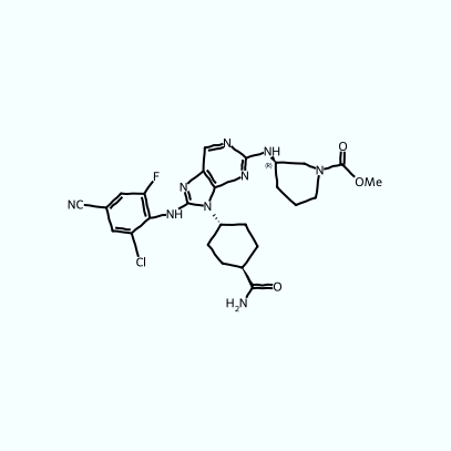 COC(=O)N1CCC[C@@H](Nc2ncc3nc(Nc4c(F)cc(C#N)cc4Cl)n([C@H]4CC[C@H](C(N)=O)CC4)c3n2)C1